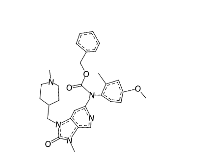 COc1ccc(N(C(=O)OCc2ccccc2)c2cc3c(cn2)n(C)c(=O)n3CC2CCN(C)CC2)c(C)c1